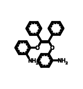 Nc1ccccc1OC(=C(Oc1ccccc1N)c1ccccc1)c1ccccc1